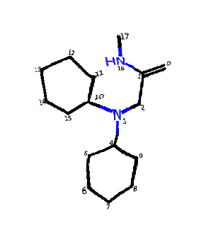 C=C(CN(C1CCCCC1)C1CCCCC1)NC